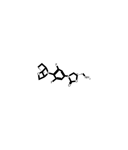 NC[C@H]1CN(c2cc(F)c(N3C4CC[C@]45OCC35)c(F)c2)C(=O)O1